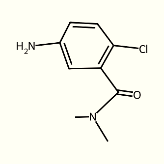 CN(C)C(=O)c1cc(N)ccc1Cl